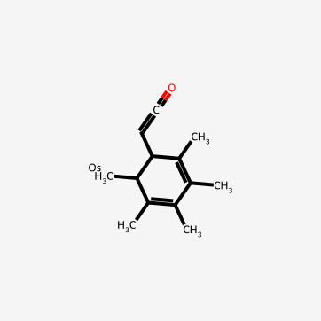 CC1=C(C)C(C)C(C=C=O)C(C)=C1C.[Os]